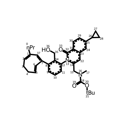 CCCC1=C/CC/C=C/C(c2cccc(-n3c(CN(C)C(=O)OC(C)(C)C)cc4cc(C5CC5)ccc4c3=O)c2CO)=C\1